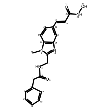 Cn1c(CNC(=O)Cc2ccccc2)nc2cc(C=CC(=O)NO)ccc21